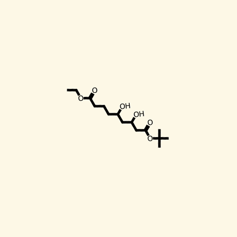 CCOC(=O)CCCC(O)CC(O)CC(=O)OC(C)(C)C